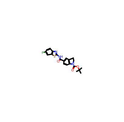 CC(C)(C)OC(=O)N1CCc2cc(C(=O)Nc3nc4ccc(F)cc4s3)ccc21